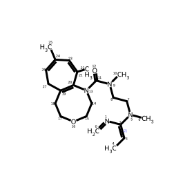 C=N/C(=C\C)N(C)CCN(C)C(=O)N1CCOCCC2=C1C(C)=CC(C)=CC2